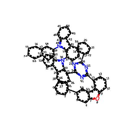 c1ccc(-c2ccc3oc4cccc(-c5nc(-c6ccccc6)nc(-c6cccc7c8ccccc8n(-c8cccc9c%10ccccc%10n(-c%10ccc%11ccccc%11c%10)c89)c67)n5)c4c3c2)cc1